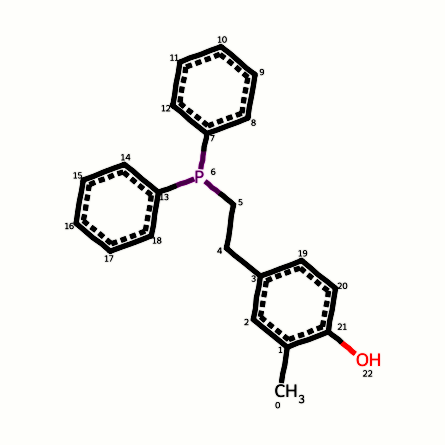 Cc1cc(CCP(c2ccccc2)c2ccccc2)ccc1O